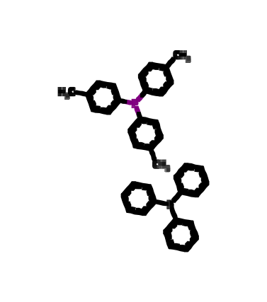 Cc1ccc(P(c2ccc(C)cc2)c2ccc(C)cc2)cc1.c1ccc(B(c2ccccc2)c2ccccc2)cc1